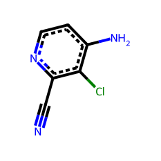 N#Cc1nccc(N)c1Cl